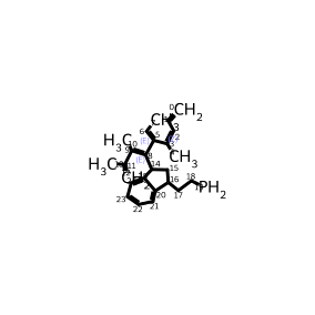 C=C\C=C(C)/C(=C\C)C(=C(\C)C(=C)C)/C1CC(CCP)c2ccccc21